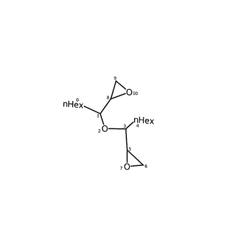 CCCCCCC(OC(CCCCCC)C1CO1)C1CO1